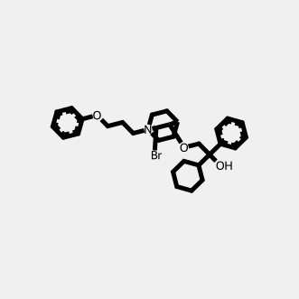 OC(COC1C2CC[N+](CCCOc3ccccc3)(CC2)C1Br)(c1ccccc1)C1CCCCC1